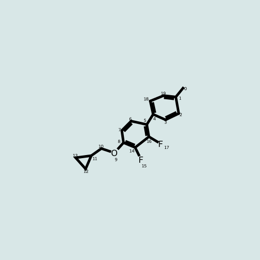 Cc1ccc(-c2ccc(OCC3CC3)c(F)c2F)cc1